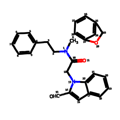 CN(CCc1ccccc1)C(=O)Cn1c(C=O)cc2ccccc21.c1cc2cc(c1)OC2